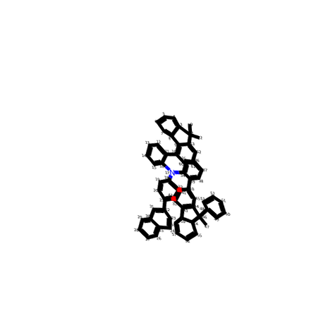 CC1(C)c2ccccc2-c2c(-c3ccccc3N(c3ccc(-c4ccc5ccccc5c4)cc3)c3ccccc3-c3ccc4c(c3)C(C)(c3ccccc3)C3C=CC=CC43)cccc21